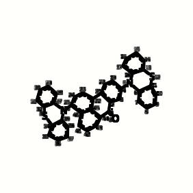 O=C1c2cc(N3c4ccccc4Sc4ccccc43)ccc2-c2ccc(N3c4ccccc4Sc4ccccc43)c3cccc1c23